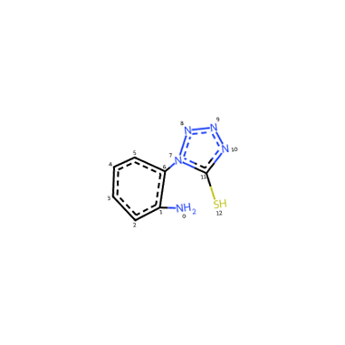 Nc1ccccc1-n1nnnc1S